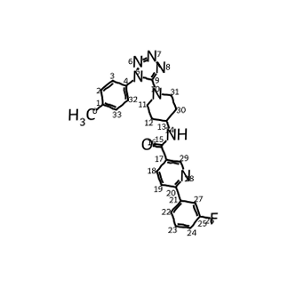 Cc1ccc(-n2nnnc2N2CCC(NC(=O)c3ccc(-c4cccc(F)c4)nc3)CC2)cc1